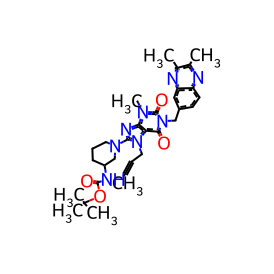 CC#CCn1c(N2CCCC(NC(=O)OC(C)(C)C)C2)nc2c1c(=O)n(Cc1ccc3nc(C)c(C)nc3c1)c(=O)n2C